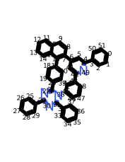 c1ccc(-c2cc(-c3ccc4ccccc4c3-c3ccc(-c4nc(-c5ccccc5)nc(-c5ccccc5)n4)cc3)cc(-c3ccccc3)n2)cc1